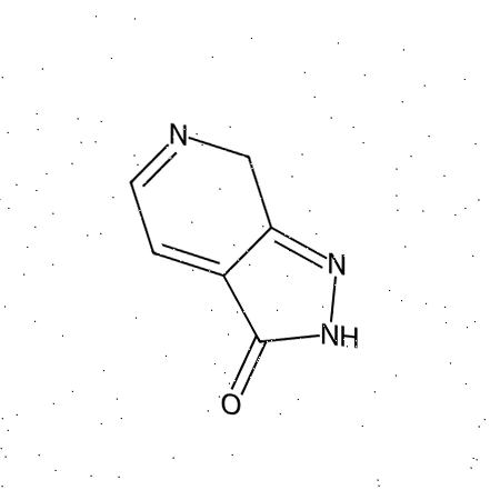 O=C1NN=C2CN=CC=C12